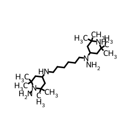 CC1(C)CC(N(N)CCCCCCNC2CC(C)(C)N(N)C(C)(C)C2)CC(C)(C)N1